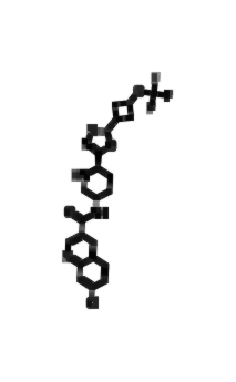 O=C(N[C@H]1CC[C@H](c2nnc(C3CC(OC(F)(F)F)C3)o2)NC1)c1cnc2cc(Cl)ccc2c1